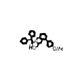 COc1ccc(-c2cccc3c2CC(CO)N(C(=O)C(c2ccccc2)c2ccccc2)C3)cc1